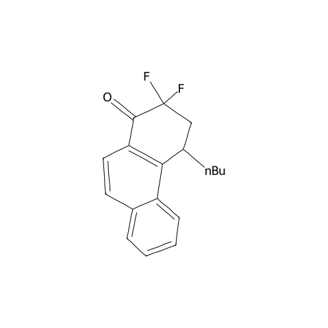 CCCCC1CC(F)(F)C(=O)c2ccc3ccccc3c21